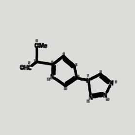 COC(C=O)c1ccc(-n2cnnn2)cn1